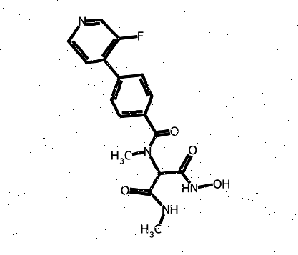 CNC(=O)C(C(=O)NO)N(C)C(=O)c1ccc(-c2ccncc2F)cc1